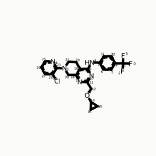 FC(F)(F)c1ccc(Nc2nc(COC3CC3)nc3c2CCN(c2ncccc2Cl)C3)cc1